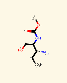 CC(C)(C)OC(=O)N[C@H](CO)[C@H](N)CC(=O)O